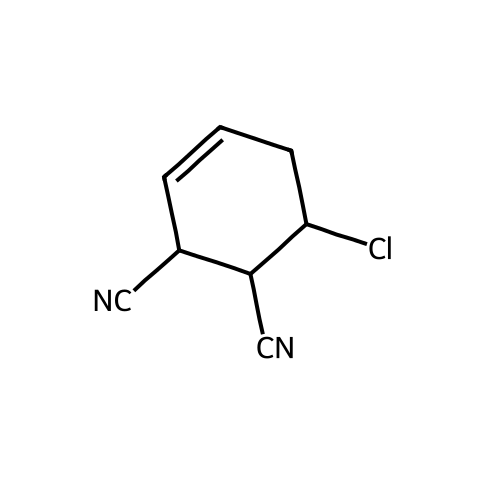 N#CC1C=CCC(Cl)C1C#N